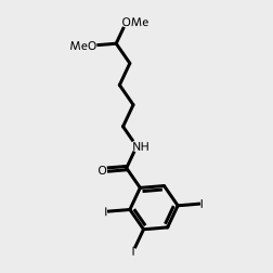 COC(CCCCNC(=O)c1cc(I)cc(I)c1I)OC